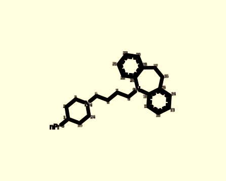 CCCC1CCN(CCCCN2c3ccccc3CCc3ccccc32)CC1